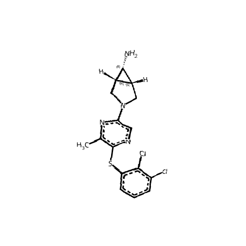 Cc1nc(N2C[C@@H]3[C@H](N)[C@@H]3C2)cnc1Sc1cccc(Cl)c1Cl